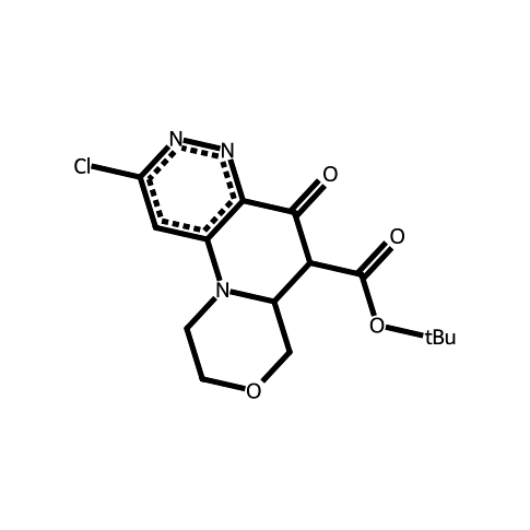 CC(C)(C)OC(=O)C1C(=O)c2nnc(Cl)cc2N2CCOCC12